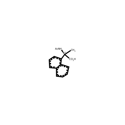 CC(=O)N[C@@](C)(C(=O)O)c1cccc2ccccc12